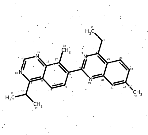 CCc1nc(-c2ccc3c(C(C)C)ncnc3c2C)nc2cc(C)ccc12